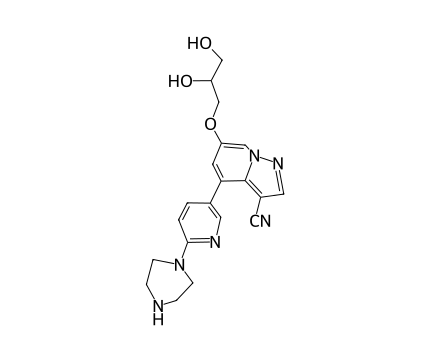 N#Cc1cnn2cc(OCC(O)CO)cc(-c3ccc(N4CCNCC4)nc3)c12